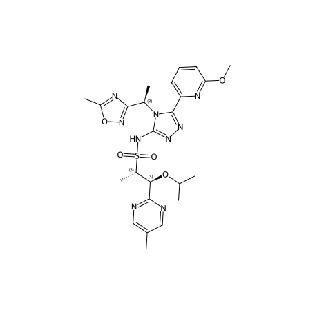 COc1cccc(-c2nnc(NS(=O)(=O)[C@@H](C)[C@@H](OC(C)C)c3ncc(C)cn3)n2[C@H](C)c2noc(C)n2)n1